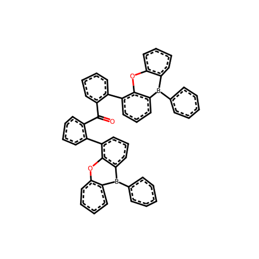 O=C(c1ccccc1-c1cccc2c1Oc1ccccc1B2c1ccccc1)c1ccccc1-c1cccc2c1Oc1ccccc1B2c1ccccc1